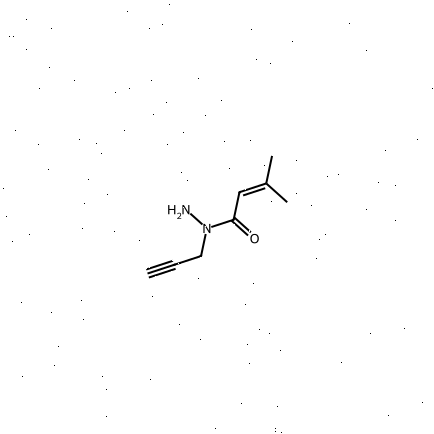 C#CCN(N)C(=O)C=C(C)C